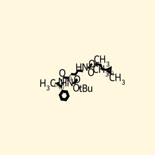 C[C@H]1CC1CCC(C)(C)OC(=O)NCCCC[C@H](NC(=O)OC(C)(C)C)C(=O)N1[C@H](c2ccccc2)[C@@H]1C